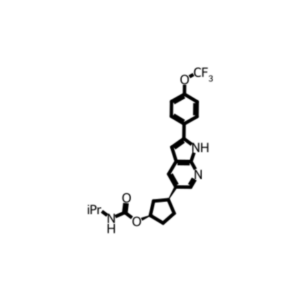 CC(C)NC(=O)O[C@@H]1CC[C@H](c2cnc3[nH]c(-c4ccc(OC(F)(F)F)cc4)cc3c2)C1